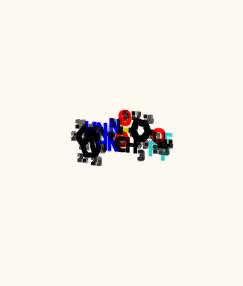 CN/C(=N\S(=O)(=O)c1ccc(OC(F)(F)F)cc1)NC12CC3CC(CC(C3)C1)C2